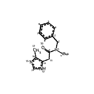 CCC(C)N(Cc1ccccc1)C(=O)Cc1[nH]cnc1C